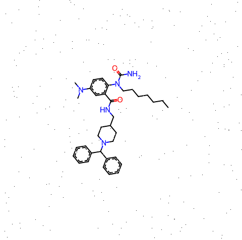 CCCCCCCN(C(N)=O)c1ccc(N(C)C)cc1C(=O)NCC1CCN(C(c2ccccc2)c2ccccc2)CC1